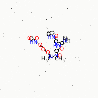 CCN(CC)c1ccc(NC(=O)c2cccc(C(=O)N(C)CCN(C)CCOCCOCCOCCNC(=O)C3CCOCC3)c2)c(-c2cc(C(=O)NC3CCCc4ccccc43)ccn2)c1